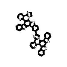 c1ccc2c(c1)oc1c3c4cc(-c5cn6c(n5)c5cccnc5c5c7c8ccccc8oc7c7oc8ccccc8c7c56)ccc4oc3c3c(c4ncccc4c4nccn43)c21